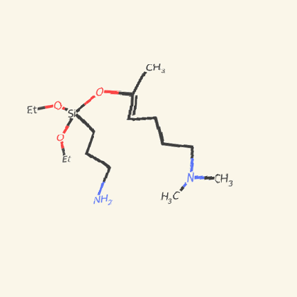 CCO[Si](CCCN)(OCC)OC(C)=CCCCN(C)C